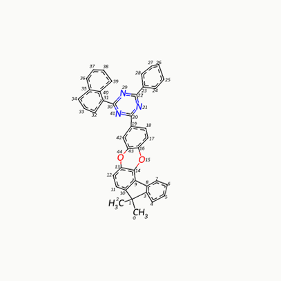 CC1(C)c2ccccc2-c2c1ccc1c2Oc2ccc(-c3nc(-c4ccccc4)nc(-c4cccc5ccccc45)n3)cc2O1